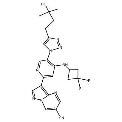 CC(C)(O)CCc1cn(-c2cnc(-c3cnn4cc(C#N)cnc34)cc2NC2CC(F)(F)C2)nn1